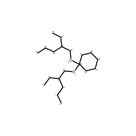 CCCC(CC)COC1(OCC(CC)CCC)CCCCC1